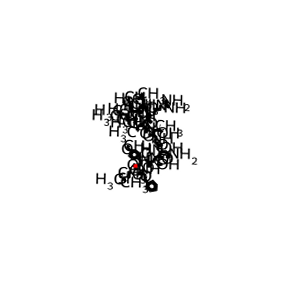 C=C(N[C@H](C(=O)N[C@@H](CC(C)C)C(=O)N[C@H](CCCNC(=N)N)C(=O)NC(C(=O)N[C@H](C(=O)NCC(=O)N[C@H](C(=O)N[C@@H](CO)C(=O)N[C@H](c1ccc(OC)cc1)[C@H](NC(=O)OCc1ccccc1)C(=O)OCC[Si](C)(C)C)[C@H](O)C(N)=O)[C@H](C)O)[C@@H](C)CC)[C@H](O)C(C)OC)OC(C)(C)C